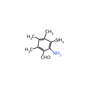 Cc1c(C)c([SiH3])c(N)c(C=O)c1C